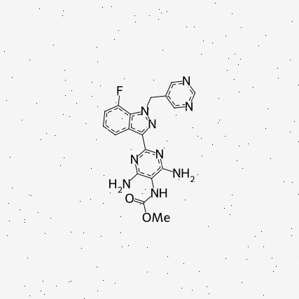 COC(=O)Nc1c(N)nc(-c2nn(Cc3cncnc3)c3c(F)cccc23)nc1N